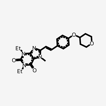 CCn1c(=O)c2c(nc(C=Cc3ccc(OC4CCOCC4)cc3)n2C)n(CC)c1=O